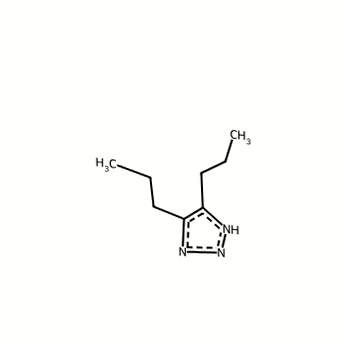 CCCc1nn[nH]c1CCC